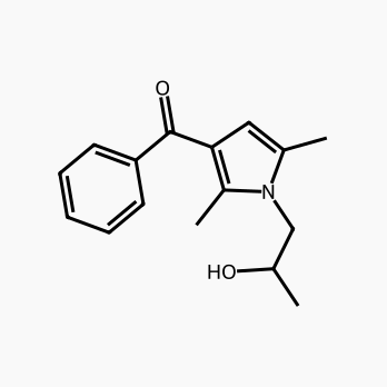 Cc1cc(C(=O)c2ccccc2)c(C)n1CC(C)O